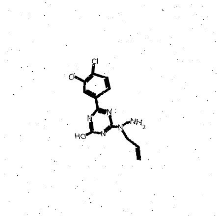 C=CCN(N)c1nc(O)nc(-c2ccc(Cl)c(Cl)c2)n1